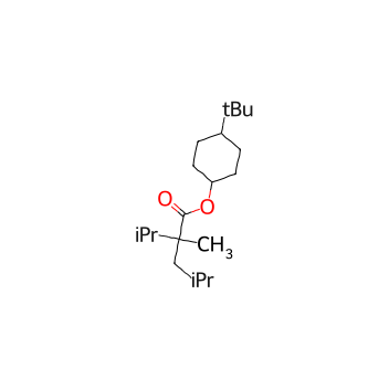 CC(C)CC(C)(C(=O)OC1CCC(C(C)(C)C)CC1)C(C)C